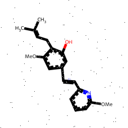 COc1cccc(/C=C/c2cc(O)c(CC=C(C)C)c(OC)c2)n1